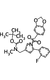 CN(Cc1cc(-c2ccccc2F)n(S(=O)(=O)c2ccc3c(c2)OCO3)c1)C(=O)OC(C)(C)C